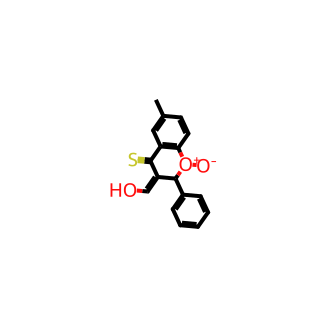 Cc1ccc2c(c1)C(=S)C(=CO)C(c1ccccc1)[O+]2[O-]